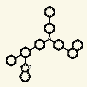 c1ccc(-c2ccc(N(c3ccc(-c4ccc(-c5ccccc5)c(-c5cc6ccccc6o5)c4)cc3)c3ccc(-c4cccc5ccccc45)cc3)cc2)cc1